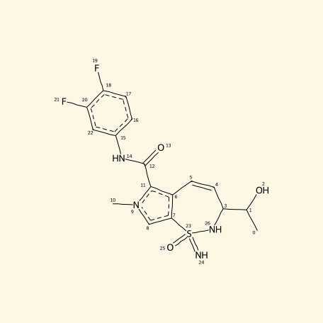 CC(O)C1C=Cc2c(cn(C)c2C(=O)Nc2ccc(F)c(F)c2)S(=N)(=O)N1